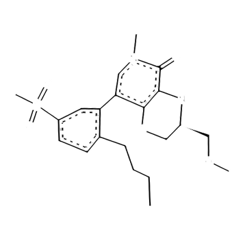 CCCCc1ccc(S(C)(=O)=O)cc1-c1cn(C)c(=O)c2c1OC[C@H](COC)N2